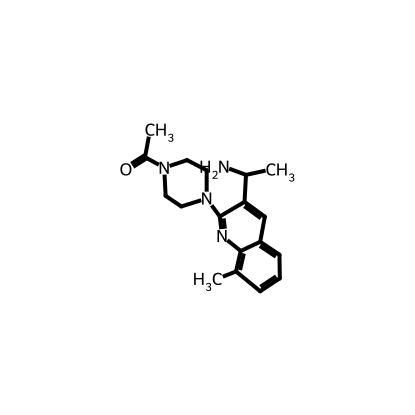 CC(=O)N1CCN(c2nc3c(C)cccc3cc2C(C)N)CC1